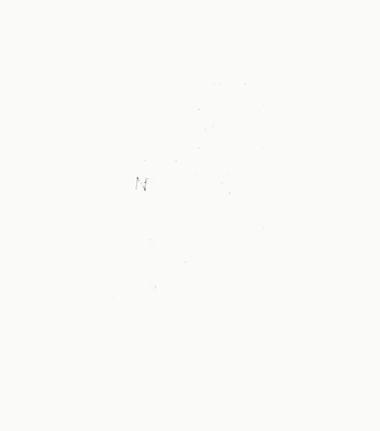 c1ccc(-c2ccc(-c3c4ccccc4c(-c4ccc5ccccc5c4)c4ccncc34)cc2)cc1